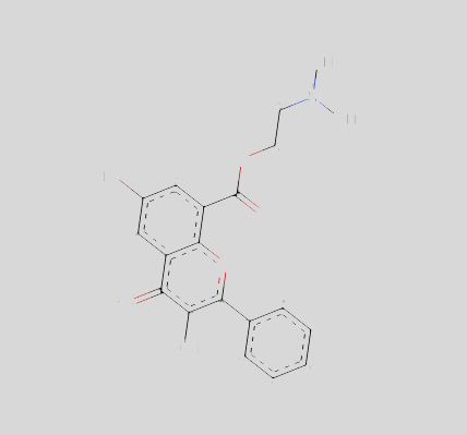 Cc1c(-c2ccccc2)oc2c(C(=O)OCCN(C)C)cc(Br)cc2c1=O